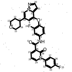 O=C(Nc1ccc(Oc2cc(C3CCOCC3)cn3nccc23)c(F)c1)c1cccn(-c2ccc(F)cc2)c1=O